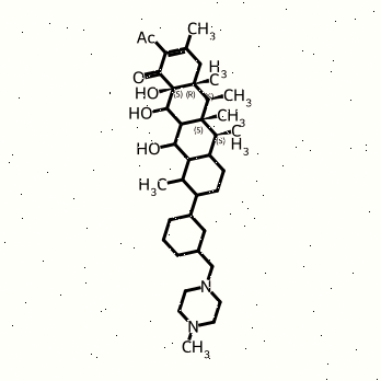 CC(=O)C1=C(C)C[C@]2(C)[C@@H](C)[C@@]3(C)C(C(O)C4C(C)C(C5CCCC(CN6CCN(C)CC6)C5)CCC4[C@@H]3C)C(O)[C@]2(O)C1=O